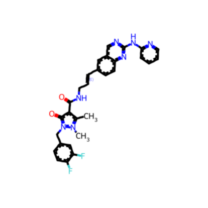 Cc1c(C(=O)NC/C=C/c2ccc3nc(Nc4ccccn4)ncc3c2)c(=O)n(Cc2ccc(F)c(F)c2)n1C